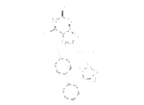 CCCCCc1nc2c(c(=O)n(C)c(=O)n2C)n1Cc1ccc(-c2ccccc2-c2nnn[nH]2)cc1